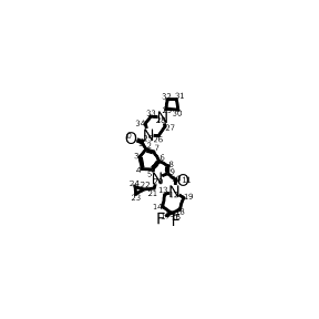 O=C(c1ccc2c(c1)cc(C(=O)N1CCC(F)(F)CC1)n2CC1CC1)N1CCN(C2CCC2)CC1